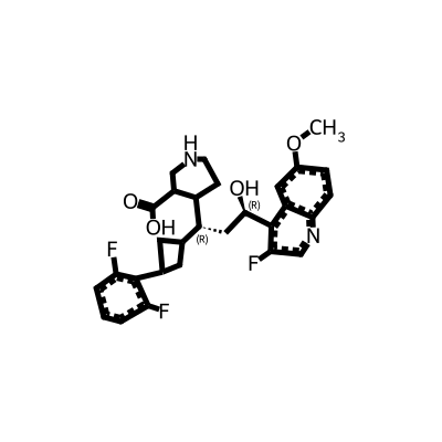 COc1ccc2ncc(F)c([C@H](O)C[C@H](C3CC(c4c(F)cccc4F)C3)C3CCNCC3C(=O)O)c2c1